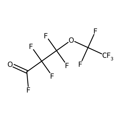 O=C(F)C(F)(F)C(F)(F)OC(F)(F)C(F)(F)F